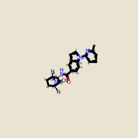 Cc1cccc(-n2ccc3cc(C(=O)N[C@@H]4C[C@@H]5CC[C@H]4N5C#N)ccc32)n1